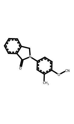 Cc1cc(N2Cc3ccccc3C2=O)ccc1OC#N